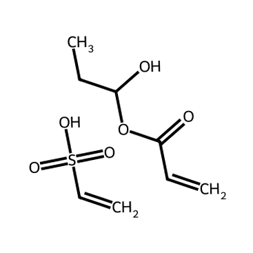 C=CC(=O)OC(O)CC.C=CS(=O)(=O)O